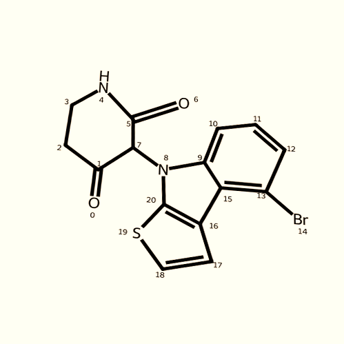 O=C1CCNC(=O)C1n1c2cccc(Br)c2c2ccsc21